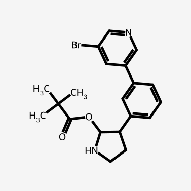 CC(C)(C)C(=O)OC1NCCC1c1cccc(-c2cncc(Br)c2)c1